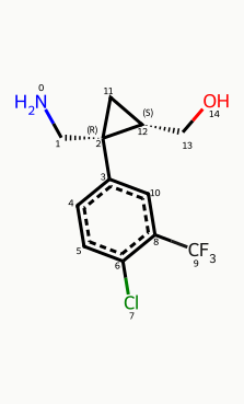 NC[C@]1(c2ccc(Cl)c(C(F)(F)F)c2)C[C@@H]1CO